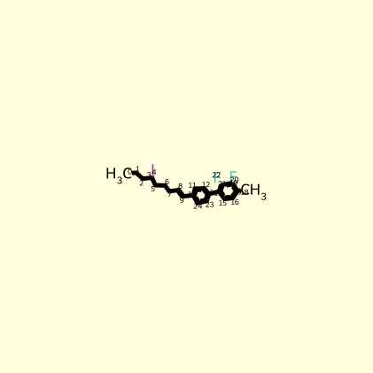 CCCC(I)CCCC=Cc1ccc(-c2ccc(C)c(F)c2F)cc1